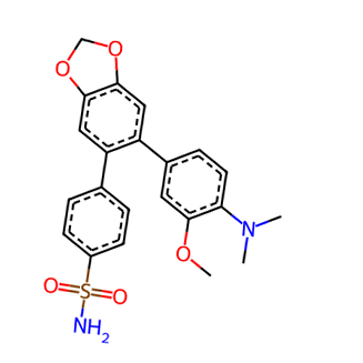 COc1cc(-c2cc3c(cc2-c2ccc(S(N)(=O)=O)cc2)OCO3)ccc1N(C)C